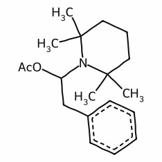 CC(=O)OC(Cc1ccccc1)N1C(C)(C)CCCC1(C)C